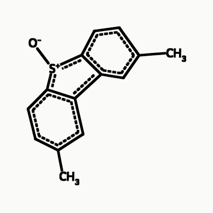 Cc1ccc2c(c1)c1cc(C)ccc1[s+]2[O-]